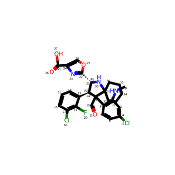 CNc1cc(Cl)ccc1C1(C=O)[C@@H](c2cccc(Cl)c2F)[C@H](c2nc(C(=O)O)co2)NC12CCCCC2